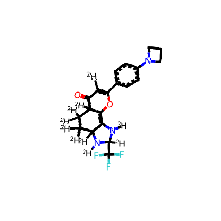 [2H]C1=C(c2ccc(N3CCC3)cc2)OC2=C3N([2H])C([2H])(C(F)(F)F)N([2H])C3([2H])C([2H])([2H])C([2H])([2H])C2([2H])C1=O